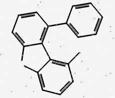 Ic1cccc2sc3cccc(-c4ccccc4)c3c12